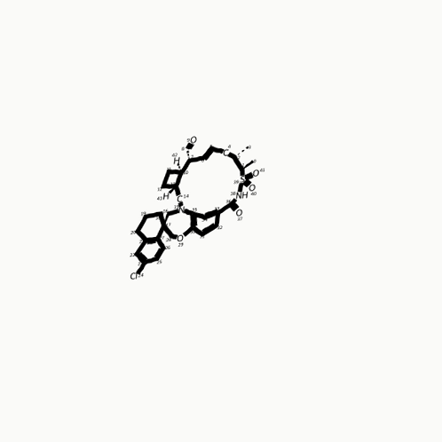 C[C@@H]1[C@@H](C)C/C=C/[C@@H](C=O)[C@@H]2CC[C@H]2CN2C[C@@]3(CCCc4cc(Cl)ccc43)COc3ccc(cc32)C(=O)NS1(=O)=O